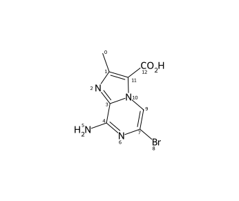 Cc1nc2c(N)nc(Br)cn2c1C(=O)O